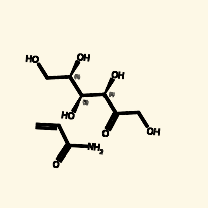 C=CC(N)=O.O=C(CO)[C@H](O)[C@@H](O)[C@H](O)CO